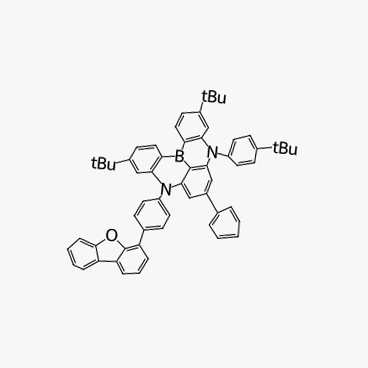 CC(C)(C)c1ccc(N2c3cc(C(C)(C)C)ccc3B3c4ccc(C(C)(C)C)cc4N(c4ccc(-c5cccc6c5oc5ccccc56)cc4)c4cc(-c5ccccc5)cc2c43)cc1